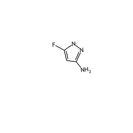 NC1=N[N]C(F)=C1